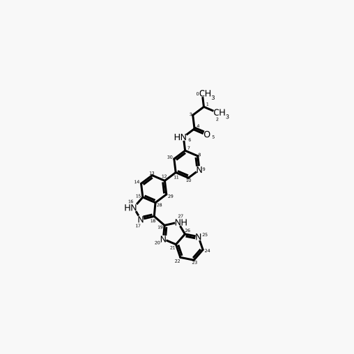 CC(C)CC(=O)Nc1cncc(-c2ccc3[nH]nc(-c4nc5cccnc5[nH]4)c3c2)c1